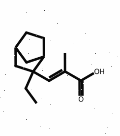 CCC1(C=C(C)C(=O)O)CC2CCC1C2